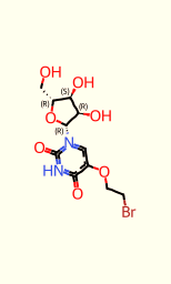 O=c1[nH]c(=O)n([C@@H]2O[C@H](CO)[C@@H](O)[C@H]2O)cc1OCCBr